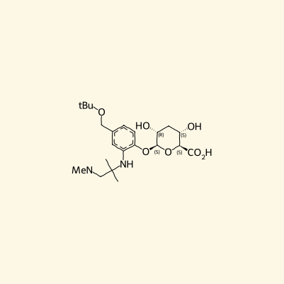 CNCC(C)(C)Nc1cc(COC(C)(C)C)ccc1O[C@@H]1O[C@H](C(=O)O)[C@@H](O)C[C@H]1O